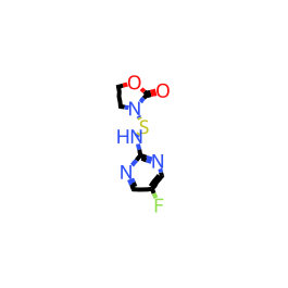 O=C1OCCN1SNc1ncc(F)cn1